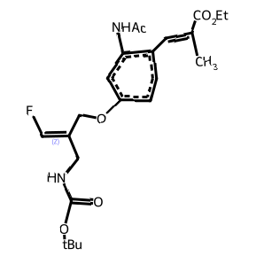 CCOC(=O)C(C)=Cc1ccc(OC/C(=C\F)CNC(=O)OC(C)(C)C)cc1NC(C)=O